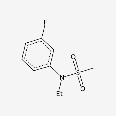 CCN(c1cccc(F)c1)S(C)(=O)=O